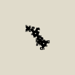 CCc1cc(C2=NOC(c3cc(Cl)cc(Cl)c3)(C(F)(F)F)C2)ccc1C(=O)OC(C)(C)C